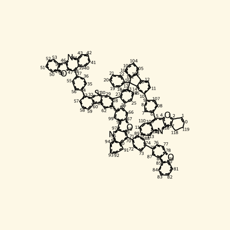 C1=Cc2oc3c(-c4ccc(-c5ccc6c(c5)C(c5ccccc5)(c5cccc(-c7cc8sc9c(-c%10ccc(-c%11c%12ccccc%12nc%12c%11oc%11ccccc%11%12)cc%10)cccc9c8cc7-c7ccc8oc9c(-c%10ccc(-c%11ccc%12oc%13ccccc%13c%12c%11)cc%10)c%10ccccc%10nc9c8c7)c5)c5ccccc5-6)cc4)c4ccccc4nc3c2CC1